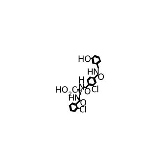 O=C(NCc1cccc(O)c1)c1ccc(C(=O)N[C@@H](CNC(=O)c2ccccc2Cl)C(=O)O)c(Cl)c1